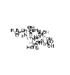 BP(=O)(O)CN(CCN(CCN(CP(=O)(O)O)CP(=O)(O)O)CP(=O)(O)O)CP(B)(=O)O